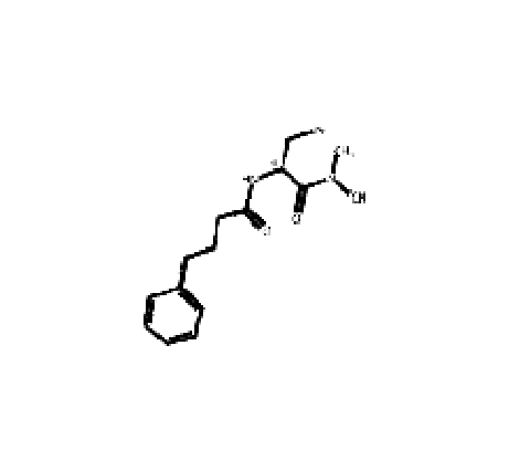 CC(C)C[C@H](NC(=O)CCCc1ccccc1)C(=O)N(C)C#N